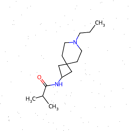 CCCN1CCC2(CC1)CC(NC(=O)C(C)C)C2